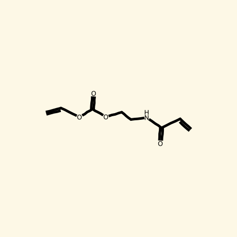 C=COC(=O)OCCNC(=O)C=C